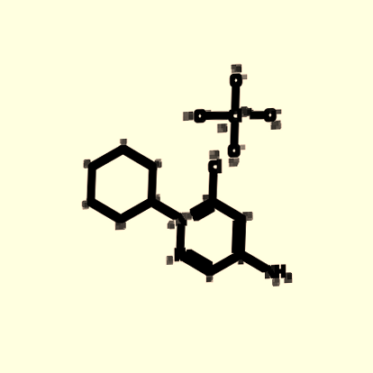 Nc1cn[n+](C2CCCCC2)c(Cl)c1.[O-][Cl+3]([O-])([O-])[O-]